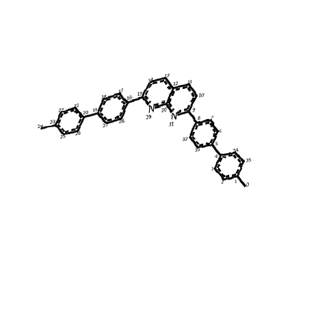 Cc1ccc(-c2ccc(-c3ccc4ccc(-c5ccc(-c6ccc(C)cc6)cc5)nc4n3)cc2)cc1